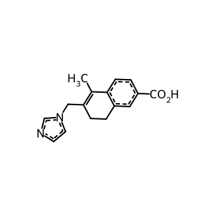 CC1=C(Cn2ccnc2)CCc2cc(C(=O)O)ccc21